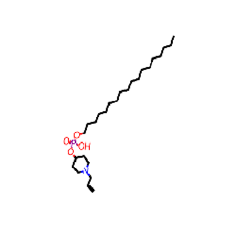 C=CCN1CCC(OP(=O)(O)OCCCCCCCCCCCCCCCCCC)CC1